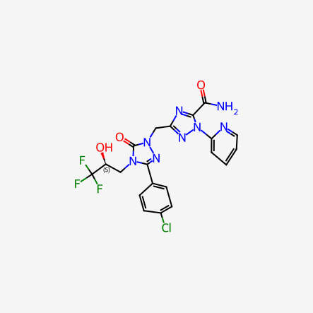 NC(=O)c1nc(Cn2nc(-c3ccc(Cl)cc3)n(C[C@H](O)C(F)(F)F)c2=O)nn1-c1ccccn1